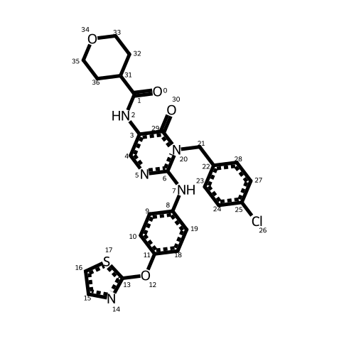 O=C(Nc1cnc(Nc2ccc(Oc3nccs3)cc2)n(Cc2ccc(Cl)cc2)c1=O)C1CCOCC1